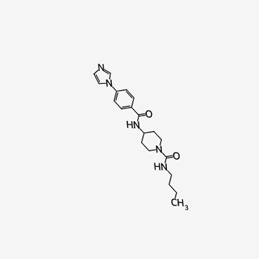 CCCCNC(=O)N1CCC(NC(=O)c2ccc(-n3ccnc3)cc2)CC1